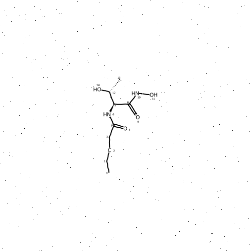 CCCCC(=O)N[C@H](C(=O)NO)[C@@H](C)O